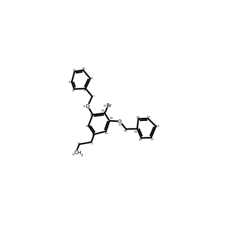 CCCc1cc(OCc2ccccc2)c(Br)c(OCc2ccccc2)c1